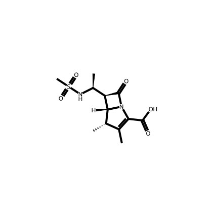 CC1=C(C(=O)O)N2C(=O)[C@H]([C@H](C)NS(C)(=O)=O)[C@H]2[C@H]1C